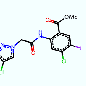 COC(=O)c1cc(I)c(Cl)cc1NC(=O)Cn1cc(Cl)cn1